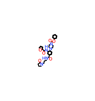 O=C(NCCCN1CCCC1=O)c1ccc(N2CCN(C(=O)Oc3ccccc3)CC2)c(NC(=O)c2ccco2)c1